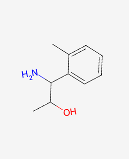 Cc1ccccc1C(N)C(C)O